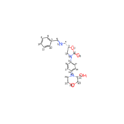 O=C1O[C@@H](C/N=C/c2ccccc2)CN1c1ccc(N2CCOCC2O)cc1